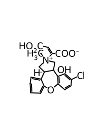 C[N@+]1(/C(=C\C(=O)O)C(=O)[O-])C[C@@H]2c3ccccc3Oc3ccc(Cl)cc3[C@]2(O)C1